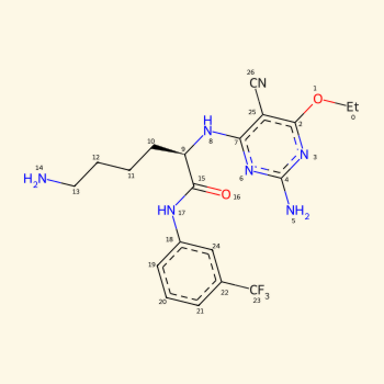 CCOc1nc(N)nc(N[C@H](CCCCN)C(=O)Nc2cccc(C(F)(F)F)c2)c1C#N